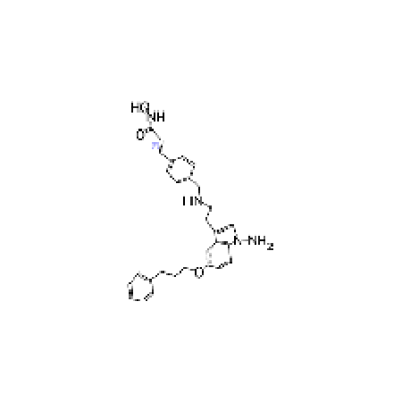 Nn1cc(CCNCc2ccc(/C=C/C(=O)NO)cc2)c2cc(OCCCc3ccccc3)ccc21